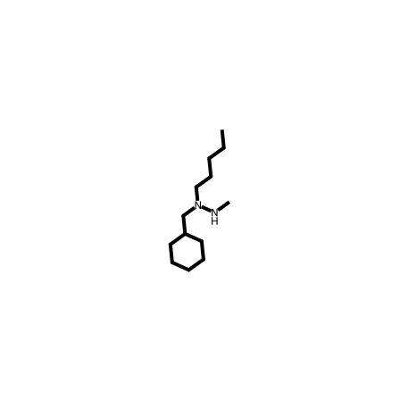 CCCCCN(CC1CCCCC1)NC